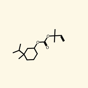 C=CC(C)(C)OC(=O)OC1CCCC(C)(C(C)C)C1